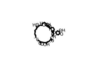 CO[C@@H]1C[C@H](C[C@H]2C3CCCN4C(=O)C(=O)[C@]5(O)O[C@@H](CC[C@H]5C)C[C@H](O)/C(C)=C/C=C/C=C/[C@@H](C)C[C@@H](C)C(=O)[C@H](OC)[C@H](O)/C(C)=C/[C@@H](C)C(=O)C[C@@H]2OC(=O)[C@H]34)CC[C@H]1O